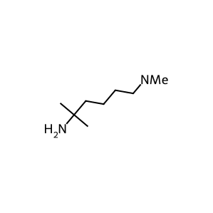 CNCCCCC(C)(C)N